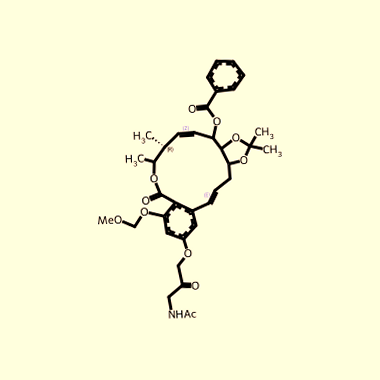 COCOc1cc(OCC(=O)CNC(C)=O)cc2c1C(=O)OC(C)[C@H](C)/C=C\C(OC(=O)c1ccccc1)C1OC(C)(C)OC1C/C=C/2